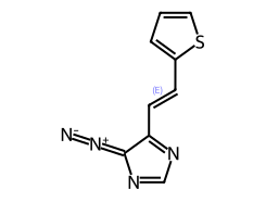 [N-]=[N+]=C1N=CN=C1/C=C/c1cccs1